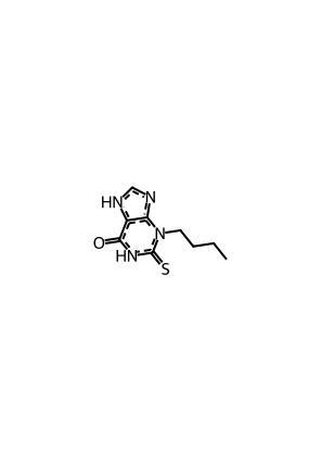 CCCCn1c(=S)[nH]c(=O)c2[nH]cnc21